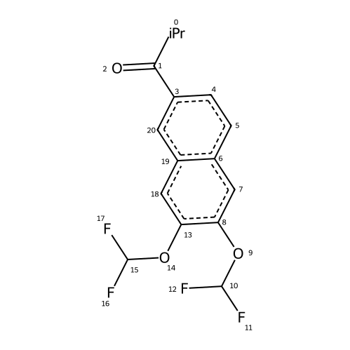 CC(C)C(=O)c1ccc2cc(OC(F)F)c(OC(F)F)cc2c1